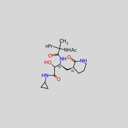 CCCC(C)(NC(C)=O)C(=O)N[C@@H](C[C@@H]1CCCNC1=O)C(O)C(=O)NC1CC1